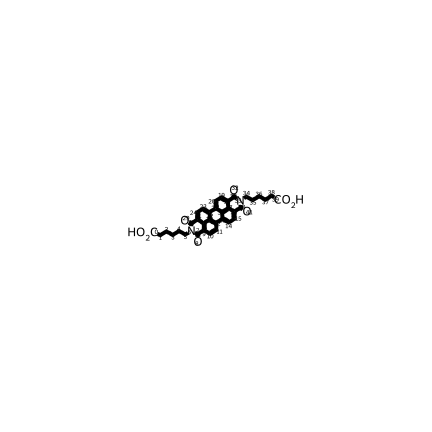 O=C(O)CCCCCN1C(=O)c2ccc3c4ccc5c6c(ccc(c7ccc(c2c37)C1=O)c64)C(=O)N(CCCCCC(=O)O)C5=O